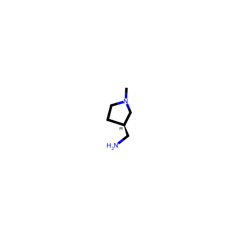 CN1CC[C@H](CN)C1